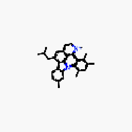 Cc1ccc2c3c(CC(C)C)cc4cc[n+](C)c5c6c(C)c(C)cc(C)c6n(c2c1)c3c45